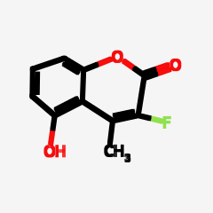 Cc1c(F)c(=O)oc2cccc(O)c12